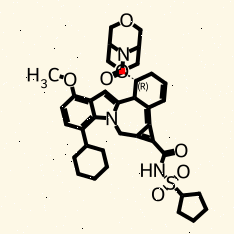 COc1ccc(C2CCCCC2)c2c1cc1n2CC2=C(C(=O)NS(=O)(=O)C3CCCC3)C2=C2C=CC[C@@H](C(=O)N3C4COCC3COC4)C21